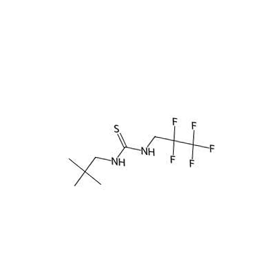 CC(C)(C)CNC(=S)NCC(F)(F)C(F)(F)F